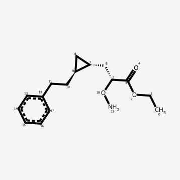 CCOC(=O)[C@@H](C[C@H]1C[C@@H]1CCc1ccccc1)ON